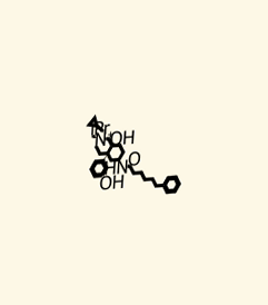 CC(C)C[N@+]1(CC2CC2)CC[C@]2(c3cccc(O)c3)C[C@@H](NC(=O)CCCCCc3ccccc3)CCC2(O)C1